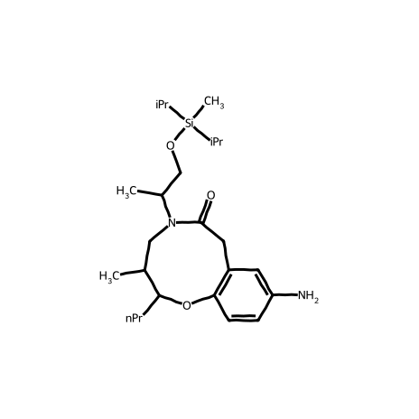 CCCC1Oc2ccc(N)cc2CC(=O)N(C(C)CO[Si](C)(C(C)C)C(C)C)CC1C